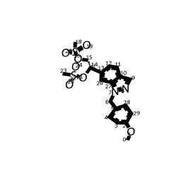 COc1ccc(Cn2ncc3ccc([C@@H](COS(C)(=O)=O)OS(C)(=O)=O)cc32)cc1